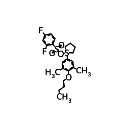 CCCCOc1c(C)cc(S2(OS(=O)(=O)c3ccc(F)cc3F)CCCC2)cc1C